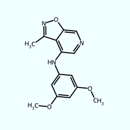 COc1cc(Nc2cncc3onc(C)c23)cc(OC)c1